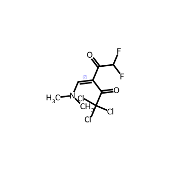 CN(C)/C=C(/C(=O)C(F)F)C(=O)C(Cl)(Cl)Cl